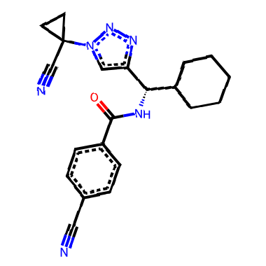 N#Cc1ccc(C(=O)N[C@H](c2cn(C3(C#N)CC3)nn2)C2CCCCC2)cc1